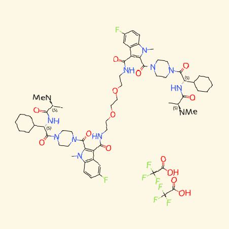 CN[C@@H](C)C(=O)N[C@H](C(=O)N1CCN(C(=O)c2c(C(=O)NCCOCCOCCNC(=O)c3c(C(=O)N4CCN(C(=O)[C@@H](NC(=O)[C@H](C)NC)C5CCCCC5)CC4)n(C)c4ccc(F)cc34)c3cc(F)ccc3n2C)CC1)C1CCCCC1.O=C(O)C(F)(F)F.O=C(O)C(F)(F)F